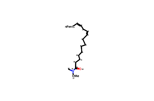 CCCCC/C=C\C/C=C\CCCCCCCC(=O)N(C)OC